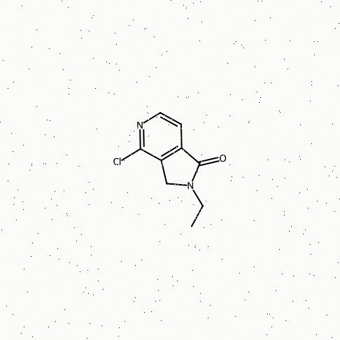 CCN1Cc2c(ccnc2Cl)C1=O